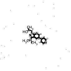 CC(O)Cn1nc(N(C)C)c2cc(-c3ccncc3)cnc21